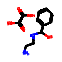 NCCNC(O)c1ccccc1.O=C(O)C(=O)O